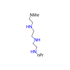 CCCNCCNCCNCCNC